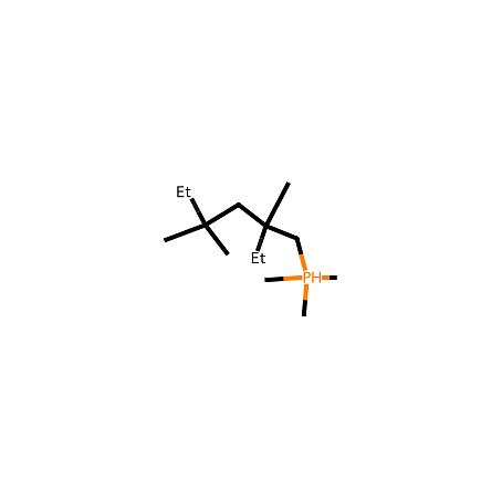 CCC(C)(C)CC(C)(CC)C[PH](C)(C)C